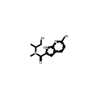 CC(C)CC(C)N(C)C(=O)c1cc2ccc(C(C)C)nc2[nH]1